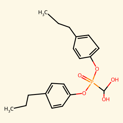 CCCc1ccc(OP(=O)(Oc2ccc(CCC)cc2)C(O)O)cc1